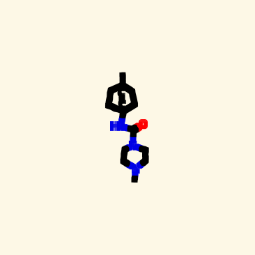 CN1CCN(C(=O)NC23CCC(C)(CC2)CC3)CC1